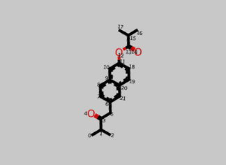 CC(C)C(=O)Cc1ccc2cc(OC(=O)C(C)C)ccc2c1